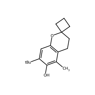 Cc1c(O)c(C(C)(C)C)cc2c1CCC1(CCC1)O2